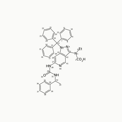 CCN(C(=O)O)c1nn(C(c2ccccc2)(c2ccccc2)c2ccccc2)c2cc(NC(=O)NC(C)c3ccccc3)ncc12